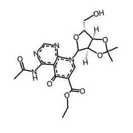 CCOC(=O)c1cn(C2O[C@H](CO)[C@H]3OC(C)(C)O[C@@H]23)c2ncnc(NC(C)=O)c2c1=O